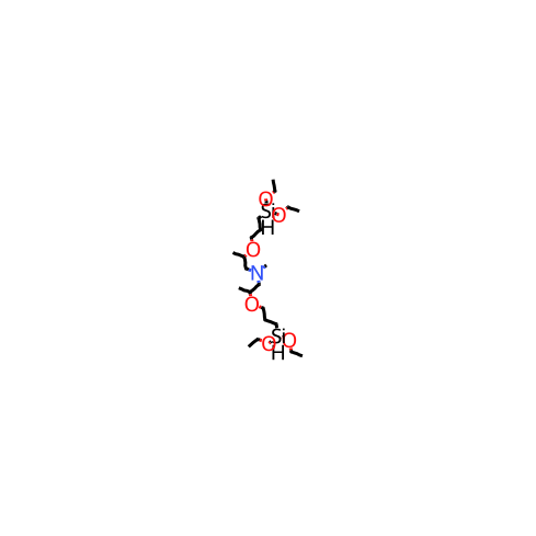 CCO[SiH](CCCOC(C)CN(C)CC(C)OCCC[SiH](OCC)OCC)OCC